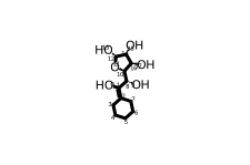 OC(=C1CCCCC1)[C@@H](O)[C@H]1O[C@H](O)[C@H](O)[C@H]1O